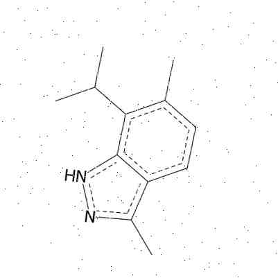 Cc1ccc2c(C)n[nH]c2c1C(C)C